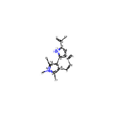 C=C/C=C\c1c(-c2ccc(C(=C)C)[nH]2)c(C)n(C)c1C